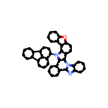 c1ccc2c(c1)-c1cccc3c(-n4c5c(ccc6oc7ccccc7c65)c5c4c4ccccc4c4nc6ccccc6n45)ccc-2c13